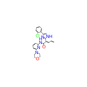 C=C/C=C(/C(=O)Nc1cccc(N2CCOCC2)n1)c1nc(-c2ccccc2Cl)c[nH]1